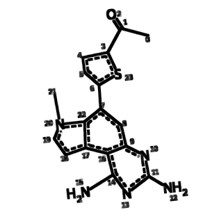 CC(=O)c1ccc(-c2cc3nc(N)nc(N)c3c3ccn(C)c23)s1